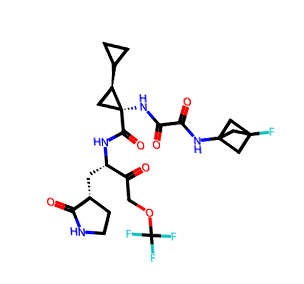 O=C(NC12CC(F)(C1)C2)C(=O)N[C@]1(C(=O)N[C@@H](C[C@@H]2CCNC2=O)C(=O)COC(F)(F)F)C[C@H]1C1CC1